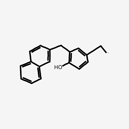 [CH2]Cc1ccc(O)c(Cc2ccc3ccccc3c2)c1